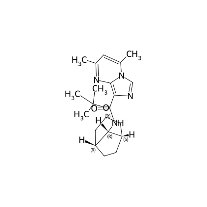 Cc1cc(C)n2cnc(C(=O)N[C@H]3[C@@H]4CC[C@H]3C[C@@H](OC(C)(C)C)C4)c2n1